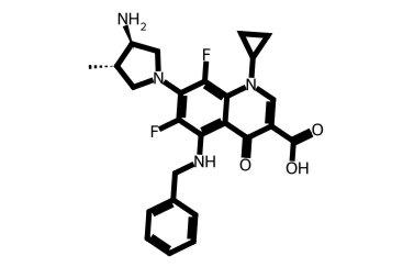 C[C@H]1CN(c2c(F)c(NCc3ccccc3)c3c(=O)c(C(=O)O)cn(C4CC4)c3c2F)C[C@@H]1N